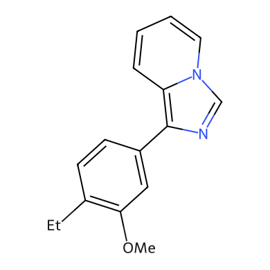 CCc1ccc(-c2ncn3ccccc23)cc1OC